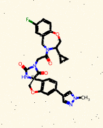 Cn1cc(-c2ccc3c(c2)OC[C@]32NC(=O)N(CC(=O)N3Cc4cc(F)ccc4OCC3C3CC3)C2=O)cn1